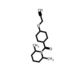 C#CCOC1CCC(C(=O)N2C(C)CCCC2C)CC1